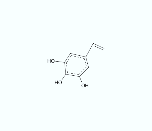 C=Cc1cc(O)c(O)c(O)c1